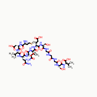 CSCC[C@H](N)C(=O)N[C@@H](CC(=O)O)C(=O)N[C@H](C(=O)N[C@@H](CCC(N)=O)C(=O)N[C@@H](CC(C)C)C(=O)N[C@@H](CCC(N)=O)C(=O)N[C@@H](CCC(=O)O)C(=O)N[C@@H](CO)C(=O)NCC(=O)NCC(=O)NCC(=O)N[C@@H](CO)C(=O)N[C@H](C(=O)O)C(C)C)C(C)C